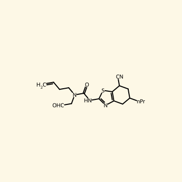 C=CCCN(CC=O)C(=O)Nc1nc2c(s1)C(C#N)CC(CCC)C2